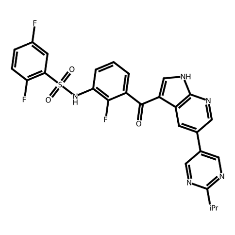 CC(C)c1ncc(-c2cnc3[nH]cc(C(=O)c4cccc(NS(=O)(=O)c5cc(F)ccc5F)c4F)c3c2)cn1